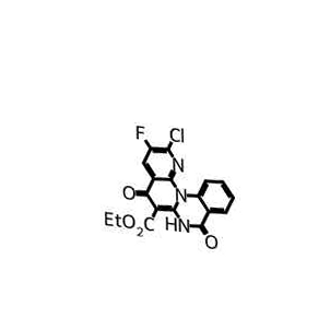 CCOC(=O)c1c(=O)c2cc(F)c(Cl)nc2n2c1[nH]c(=O)c1ccccc12